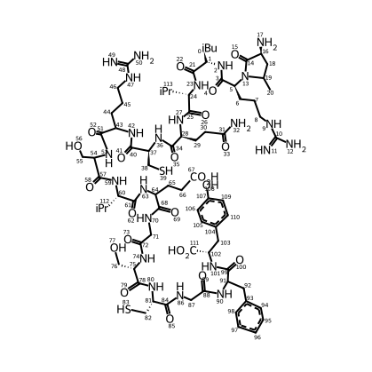 CC[C@H](C)[C@H](NC(=O)[C@H](CCCNC(=N)N)N1C(=O)[C@@H](N)CC1C)C(=O)N[C@H](C(=O)N[C@@H](CCC(N)=O)C(=O)N[C@@H](CS)C(=O)NC(CCCNC(=N)N)C(=O)NC(CO)C(=O)N[C@H](C(=O)NC(CCC(=O)O)C(=O)NCC(=O)N[C@@H](CO)C(=O)N[C@@H](CS)C(=O)NCC(=O)NC(Cc1ccccc1)C(=O)N[C@@H](Cc1ccc(O)cc1)C(=O)O)C(C)C)C(C)C